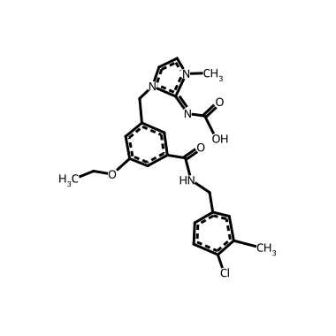 CCOc1cc(Cn2ccn(C)/c2=N\C(=O)O)cc(C(=O)NCc2ccc(Cl)c(C)c2)c1